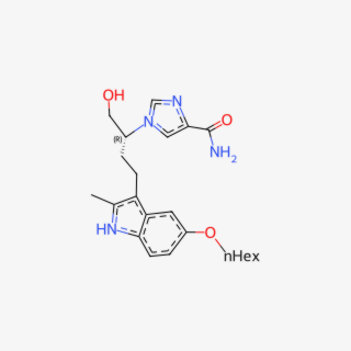 CCCCCCOc1ccc2[nH]c(C)c(CC[C@H](CO)n3cnc(C(N)=O)c3)c2c1